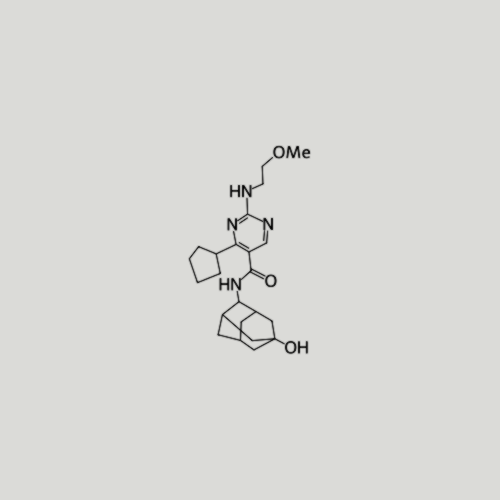 COCCNc1ncc(C(=O)NC2C3CC4CC2CC(O)(C4)C3)c(C2CCCC2)n1